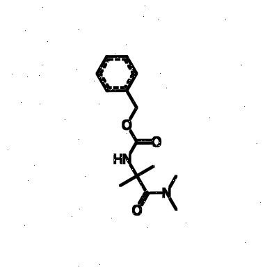 CN(C)C(=O)C(C)(C)NC(=O)OCc1ccccc1